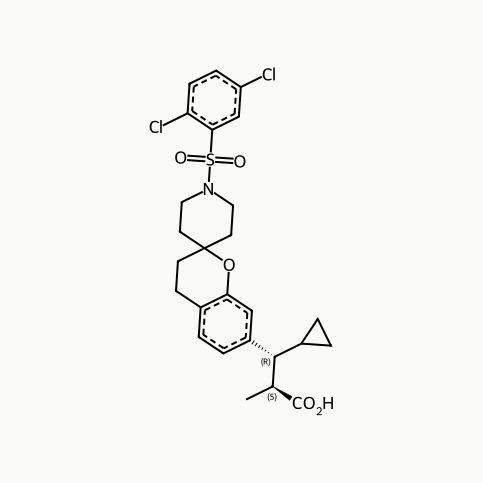 C[C@H](C(=O)O)[C@H](c1ccc2c(c1)OC1(CC2)CCN(S(=O)(=O)c2cc(Cl)ccc2Cl)CC1)C1CC1